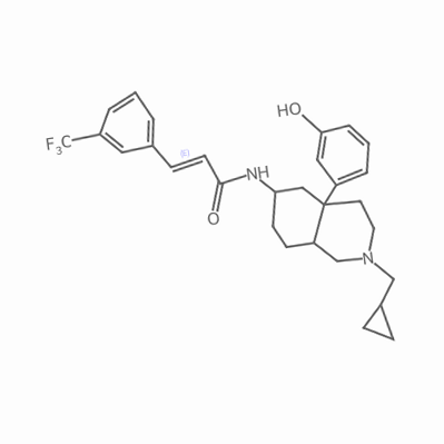 O=C(/C=C/c1cccc(C(F)(F)F)c1)NC1CCC2CN(CC3CC3)CCC2(c2cccc(O)c2)C1